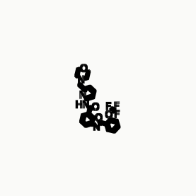 O=C(Nc1cccc(CN2CCOCC2)n1)c1cccc2nc(-c3ccccc3OC(F)(F)F)oc12